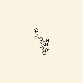 CCOc1ccccc1C=CC(=O)Nc1sc2c(c1C#N)CCN(C(=O)CCc1ccccn1)C2